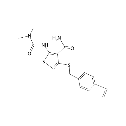 C=Cc1ccc(CSc2csc(NC(=O)N(C)C)c2C(N)=O)cc1